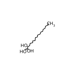 CCCCCCCCCCCCCCCCC(O)[C@@H](O)CO